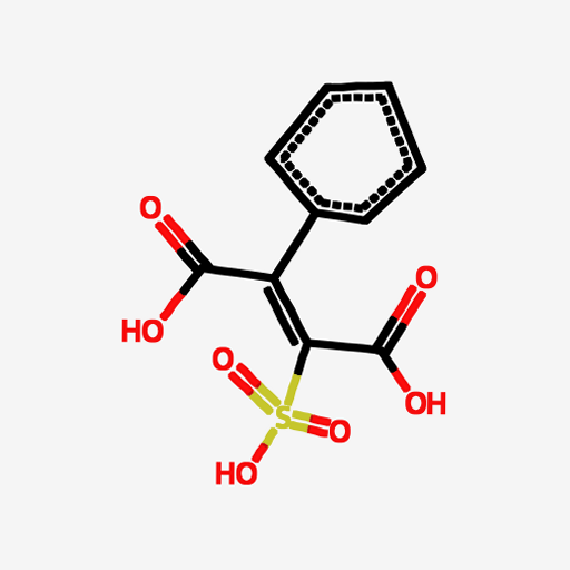 O=C(O)/C(=C(/C(=O)O)S(=O)(=O)O)c1ccccc1